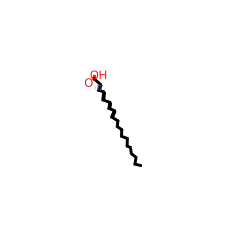 CCCCCCCCCCCC=CC=CC=C/C=C/C(=O)O